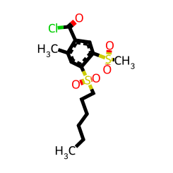 CCCCCCS(=O)(=O)c1cc(C)c(C(=O)Cl)cc1S(C)(=O)=O